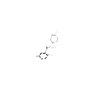 CC(=O)[C@H]1CC[C@H](NC(=O)c2cc(C(F)(F)F)ccc2Cl)CC1